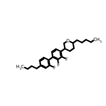 CCCCCC1CCC(c2ccc(-c3ccc(CCCC)cc3F)c(F)c2F)CO1